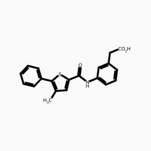 Cc1cc(C(=O)Nc2cccc(CC(=O)O)c2)sc1-c1ccccc1